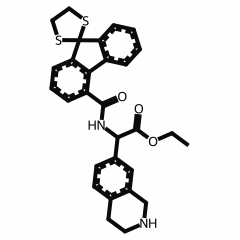 CCOC(=O)C(NC(=O)c1cccc2c1-c1ccccc1C21SCCS1)c1ccc2c(c1)CNCC2